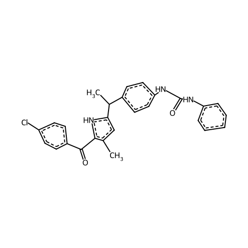 Cc1cc(C(C)c2ccc(NC(=O)Nc3ccccc3)cc2)[nH]c1C(=O)c1ccc(Cl)cc1